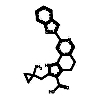 NC1(Cc2[nH]c3c(c2C(=O)O)CCc2cnc(-c4cc5ccccc5o4)cc2-3)CC1